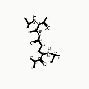 CC(=O)[C@@H](NC(C)C)C(C)OC(=O)CCC(NC(C)C)C(=O)C(C)C